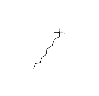 CCCCOCCCCC(C)(C)C